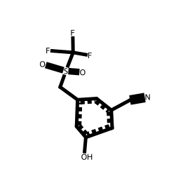 N#Cc1cc(O)cc(CS(=O)(=O)C(F)(F)F)c1